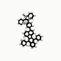 IN1C(C2CCCCN2)=C(C2=CC=C(C3=CC=C4C5C(=CC=CC35)C3C(C5=CC=CCC5)=c5ccccc5=C(C5=CC=CCC5)C43)CC2)N2C=CCCC12